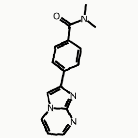 CN(C)C(=O)c1ccc(-c2cn3cccnc3n2)cc1